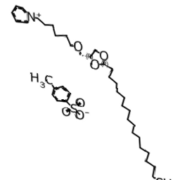 CCCCCCCCCCCCCCCCC[C@@H]1OC[C@@H](COCCCCCC[n+]2ccccc2)O1.Cc1ccc(S(=O)(=O)[O-])cc1